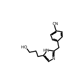 N#Cc1ccc(Cc2ncc(CCCO)[nH]2)cc1